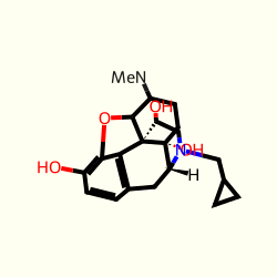 CNC1CC[C@@]2(O)[C@H]3Cc4ccc(O)c5c4[C@@]2(C(O)CN3CC2CC2)C1O5